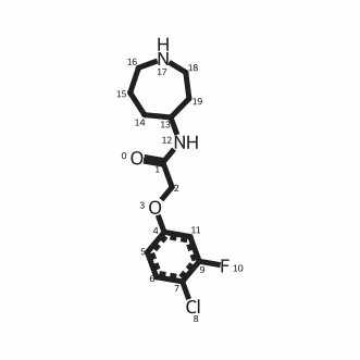 O=C(COc1ccc(Cl)c(F)c1)NC1CCCNCC1